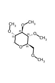 COC[C@H]1O[CH][C@H](OC)[C@@H](OC)[C@@H]1OC